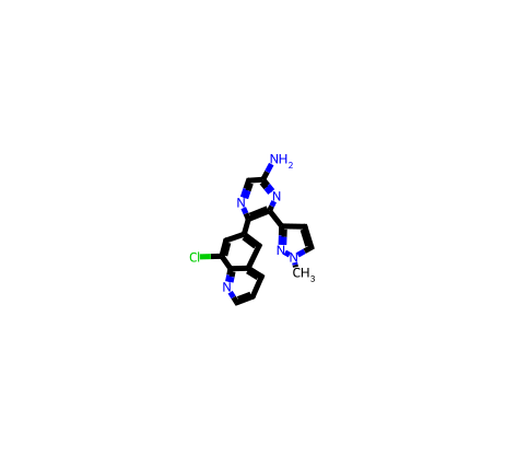 Cn1ccc(-c2nc(N)cnc2-c2cc(Cl)c3ncccc3c2)n1